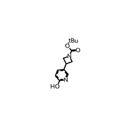 CC(C)(C)OC(=O)N1CC(c2ccc(O)nc2)C1